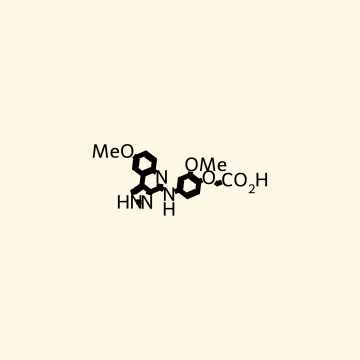 COc1ccc2nc(Nc3ccc(OCC(=O)O)c(OC)c3)c3n[nH]cc3c2c1